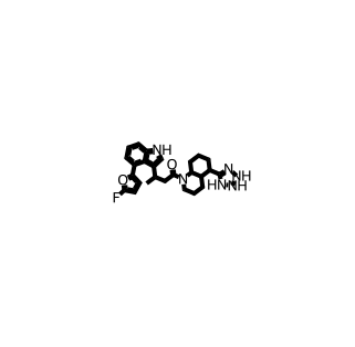 CC(CC(=O)N1CCCC2C(C3=NNNN3)CCCC21)c1c[nH]c2cccc(-c3ccc(F)o3)c12